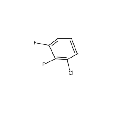 Fc1cc[c]c(Cl)c1F